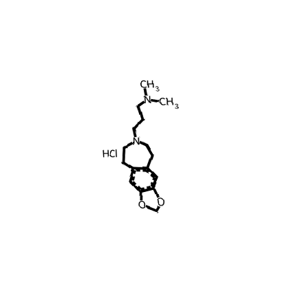 CN(C)CCCN1CCc2cc3c(cc2CC1)OCO3.Cl